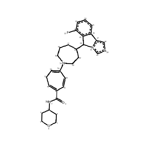 O=C(NC1CCOCC1)C1=CCC=C(N2CCCC(C3c4c(F)cccc4-c4cncn43)CC2)C=C1